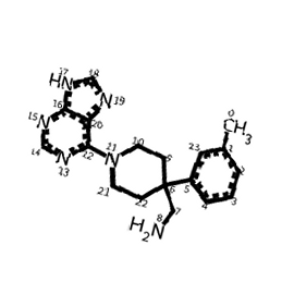 Cc1cccc(C2(CN)CCN(c3ncnc4[nH]cnc34)CC2)c1